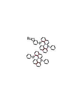 Cc1cccc(P(c2ccccc2)c2ccccc2)c1-c1c(C)cccc1P(c1ccccc1)c1ccccc1.Cc1cccc(P(c2ccccc2)c2ccccc2)c1-c1c(C)cccc1P(c1ccccc1)c1ccccc1.[Cl][Ru]